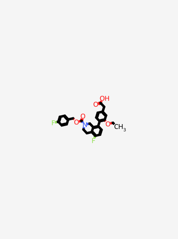 CCOc1cc(CC(=O)O)ccc1-c1ccc(F)c2c1CN(C(=O)OCc1ccc(F)cc1)CC2